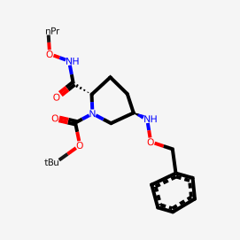 CCCONC(=O)[C@@H]1CC[C@@H](NOCc2ccccc2)CN1C(=O)OC(C)(C)C